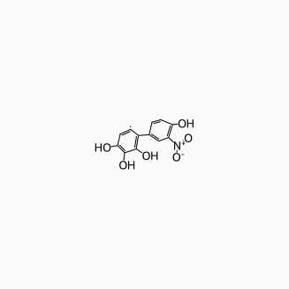 O=[N+]([O-])c1cc(-c2[c]cc(O)c(O)c2O)ccc1O